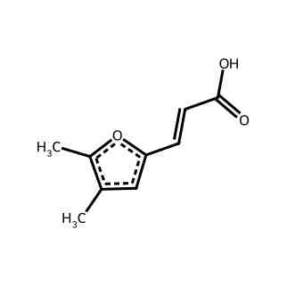 Cc1cc(/C=C/C(=O)O)oc1C